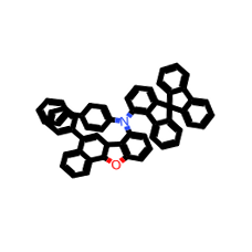 C1=CC(c2ccccc2)CC=C1N(c1cccc2c1-c1ccccc1C21c2ccccc2-c2ccccc21)c1cccc2c1C1C=C(c3ccccc3)c3ccccc3C1O2